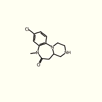 CN1C(=O)CC2CNCCN2c2ccc(Cl)cc21